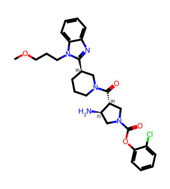 COCCCn1c([C@@H]2CCCN(C(=O)[C@@H]3CN(C(=O)Oc4ccccc4Cl)C[C@H]3N)C2)nc2ccccc21